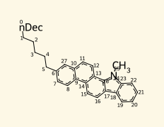 CCCCCCCCCCCCCCCc1ccc2c(ccc3c2ccc2c4ccccc4n(C)c32)c1